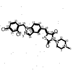 CN1CCN(N2C(=O)SC(=Cc3ccc4c(cnn4Cc4ccc(Cl)cc4C(F)(F)F)c3)C2=O)CC1